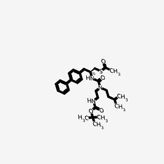 CC(=O)SC[C@H](Cc1ccc(-c2ccccc2)cc1)NC(=O)N(CCNC(=O)OC(C)(C)C)CCC(C)C